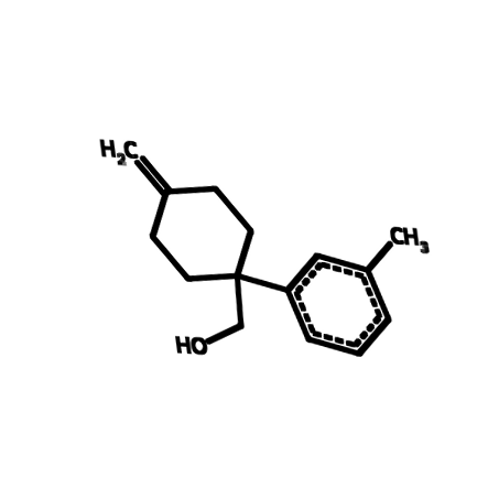 C=C1CCC(CO)(c2cccc(C)c2)CC1